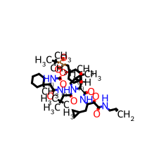 C=CCNC(=O)C(=O)C(CC1CC1)NC(=O)[C@@H]1[C@@H]2[C@H](CN1C(=O)[C@@H](NC(=O)[C@@H](NC(=O)OC1(CS(=O)(=O)C(C)(C)C)CCCCC1)C1(C)CCCCC1)C(C)(C)C)C2(C)C